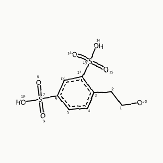 [O]CCc1ccc(S(=O)(=O)O)cc1S(=O)(=O)O